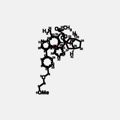 COCCOCc1ccc(-c2cnn3c(N)c(S(C)(=O)=O)c([C@@H]4C[C@H]5CC[C@@H](C4)N5C(=O)c4nnc[nH]4)nc23)cn1